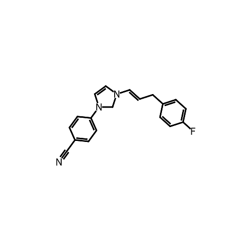 N#Cc1ccc(N2C=CN(C=CCc3ccc(F)cc3)C2)cc1